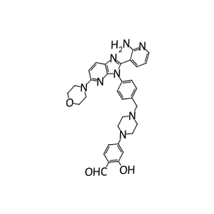 Nc1ncccc1-c1nc2ccc(N3CCOCC3)nc2n1-c1ccc(CN2CCN(c3ccc(C=O)c(O)c3)CC2)cc1